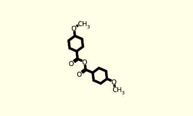 COC1CCC(C(=O)OC(=O)C2CCC(OC)CC2)CC1